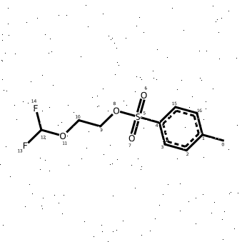 Cc1ccc(S(=O)(=O)OCCOC(F)F)cc1